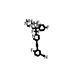 N#Cc1ccc(F)c(C#Cc2ccc(C(F)(F)C(O)(CN(N)/C=N\N)c3ccc(F)cc3F)nc2)c1